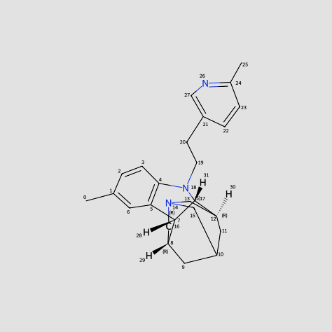 Cc1ccc2c(c1)[C@H]1[C@H]3CC4C[C@H](CN(C4)C3)[C@H]1N2CCc1ccc(C)nc1